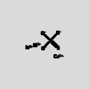 [Cu+2].[In+3].[Ni+2].[O-]P([O-])([O-])=S